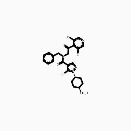 O=C(CN(Cc1ccccc1)C(=O)c1cnn([C@H]2CC[C@H](C(=O)O)CC2)c1C(F)(F)F)c1c(Cl)cncc1Cl